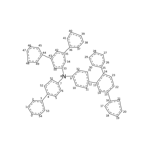 c1ccc(-c2ccc(N(c3ccc(-c4cc(-c5ccccc5)ccc4-c4ccccc4)cc3)c3cc(-c4ccccc4)cc(-c4ccccc4)c3)cc2)cc1